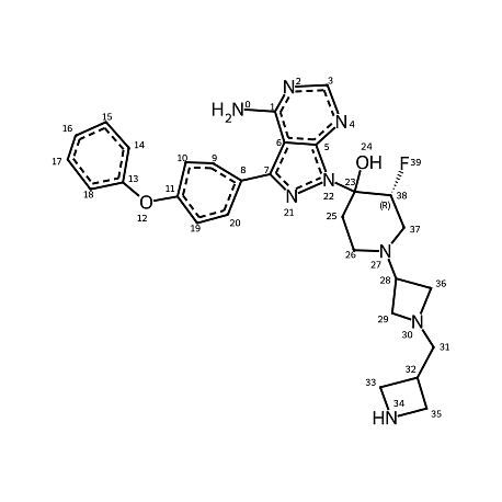 Nc1ncnc2c1c(-c1ccc(Oc3ccccc3)cc1)nn2C1(O)CCN(C2CN(CC3CNC3)C2)C[C@H]1F